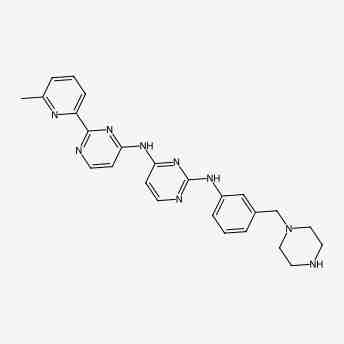 Cc1cccc(-c2nccc(Nc3ccnc(Nc4cccc(CN5CCNCC5)c4)n3)n2)n1